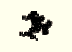 Cc1cc(C)cc(-c2ccc3c(c2)c2ccccc2n3-c2ccc(C(F)(F)F)cc2-c2ccc(-c3nc(-c4ccccc4)nc(-c4ccccc4)n3)cc2-n2c3ccccc3c3cc(-c4cc(C)cc(C)c4)ccc32)c1